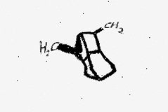 C=C1C2CC3CC(C2)C(=C)C1C3